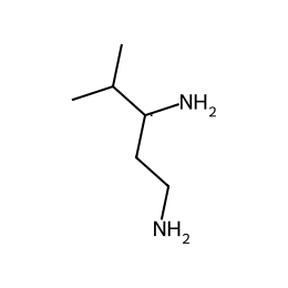 CC(C)[C](N)CCN